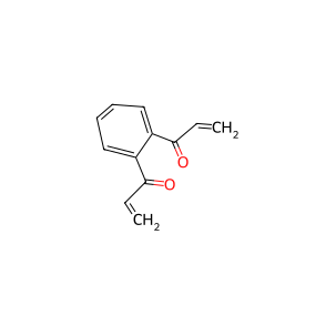 C=CC(=O)c1ccccc1C(=O)C=C